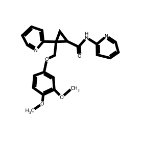 COc1ccc(OCC2(c3ccccn3)CC2C(=O)Nc2ccccn2)cc1OC